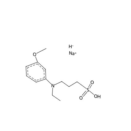 CCN(CCCS(=O)(=O)O)c1cccc(OC)c1.[H-].[Na+]